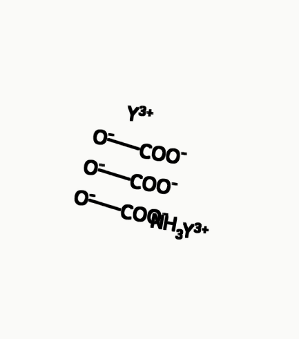 N.O=C([O-])[O-].O=C([O-])[O-].O=C([O-])[O-].[Y+3].[Y+3]